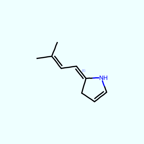 CC(C)=C/C=C1\CC=CN1